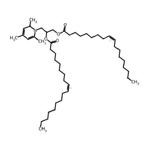 CCCCCCCC/C=C\CCCCCCCC(=O)OCC(CN1C(C)=CC(C)=CC1C)OC(=O)CCCCCCC/C=C\CCCCCCCC